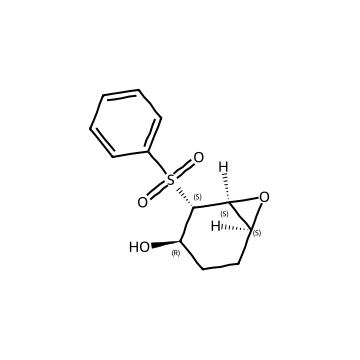 O=S(=O)(c1ccccc1)[C@@H]1[C@H]2O[C@H]2CC[C@H]1O